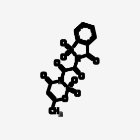 CC1=CC(=O)N(C(=O)C(=O)N2C(=O)c3ccccc3S2(=O)=O)S(=O)(=O)O1